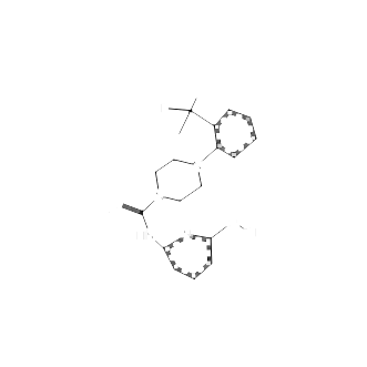 C=C(Nc1cccc(OC)n1)N1CCN(c2ccccc2C(F)(F)F)CC1